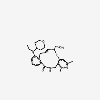 CCN(c1cccc2c1C/C=C/C(CO)Cc1cc(C)nc(C)c1CNC2=O)C1CCOCC1